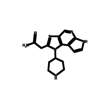 NC(=O)Cc1nc2cnc3[nH]ccc3c2n1C1CCNCC1